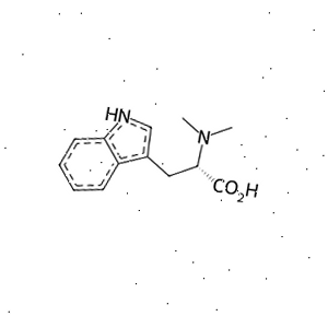 CN(C)[C@@H](Cc1c[nH]c2ccccc12)C(=O)O